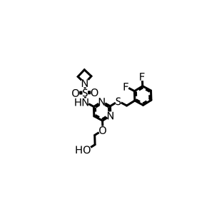 O=S(=O)(Nc1cc(OCCO)nc(SCc2cccc(F)c2F)n1)N1CCC1